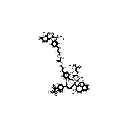 C/C(=C\C(=O)N[C@H]1CCc2cccc3c2N(C1=O)[C@H](C(=O)N[C@@H](CCC(N)=O)[C@@H](C)OCc1ccc(CCCNC(=O)COCCCc2ccc4c(c2)n(C)c(=O)n4C2CCC(=O)NC2=O)cc1)C3)c1ccc(C(F)(F)P(=O)(O)O)cc1